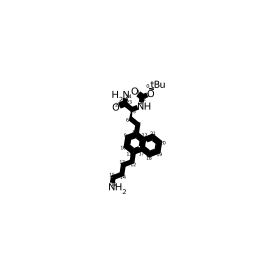 CC(C)(C)OC(=O)N[C@@H](CCc1ccc(CCCCN)c2ccccc12)C(N)=O